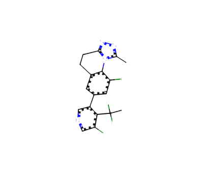 Cc1nnc2n1-c1c(F)cc(-c3cncc(F)c3C(C)(F)F)cc1CC2